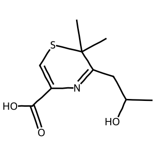 CC(O)CC1=NC(C(=O)O)=CSC1(C)C